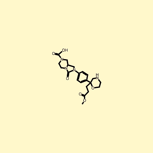 COC(=O)CCC1(c2ccc(N3CC4CN(C(=O)O)CCN4C3=O)cc2)CNCCO1